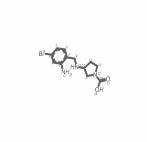 Nc1cc(Br)ccc1CNC1CCN(C(=O)O)C1